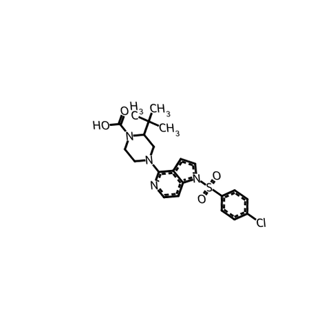 CC(C)(C)C1CN(c2nccc3c2ccn3S(=O)(=O)c2ccc(Cl)cc2)CCN1C(=O)O